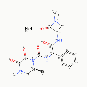 CC[C@H]1CN(CC)C(=O)C(=O)N1C(=O)NC(C(=O)NC1CN(S(=O)(=O)O)C1=O)c1ccccc1.[NaH]